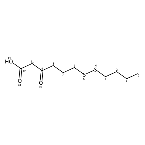 CCCCSSCCCC(=O)CC(=O)O